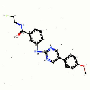 COc1ccc(-c2cnc(Nc3cccc(C(=O)NCCF)c3)nc2)cc1